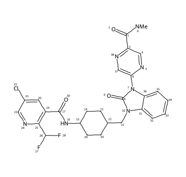 CNC(=O)c1cnc(-n2c(=O)n(CC3CCC(NC(=O)c4cc(Cl)cnc4C(F)F)CC3)c3ccccc32)cn1